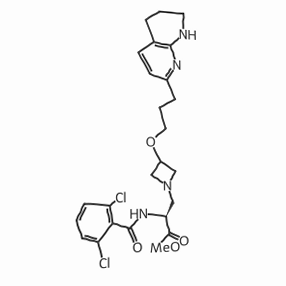 COC(=O)[C@H](CN1CC(OCCCc2ccc3c(n2)NCCC3)C1)NC(=O)c1c(Cl)cccc1Cl